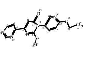 CCSc1nc(-c2ccncn2)cc(=O)n1-c1ccc(OCC(F)(F)F)nc1